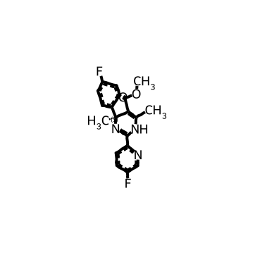 COC(=O)C1=C(C)NC(c2ccc(F)cn2)=N[C@@]1(C)c1ccc(F)cc1